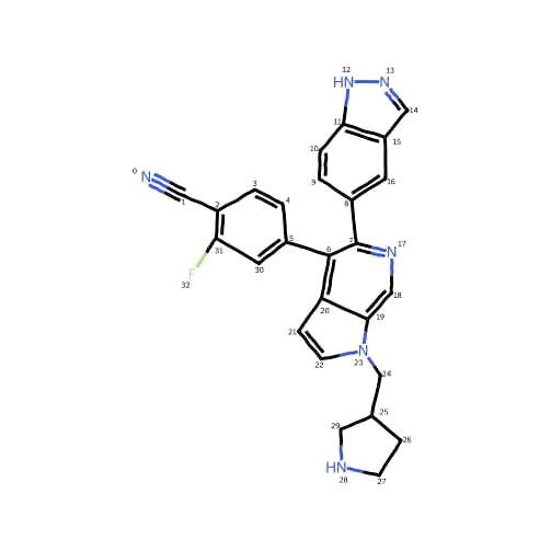 N#Cc1ccc(-c2c(-c3ccc4[nH]ncc4c3)ncc3c2ccn3CC2CCNC2)cc1F